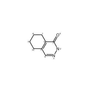 O=C1[N]N=CC2=C1CCCC2